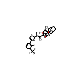 O=C(Nc1nc(-c2cccc(C(F)(F)F)c2F)cs1)c1cnc(N2C3CCC2CC(C(=O)O)C3)c(Cl)c1